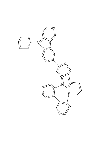 c1ccc(-n2c3ccccc3c3cc(-c4ccc5c6cccc7c6n(c5c4)-c4ccccc4-c4ccccc4-7)ccc32)cc1